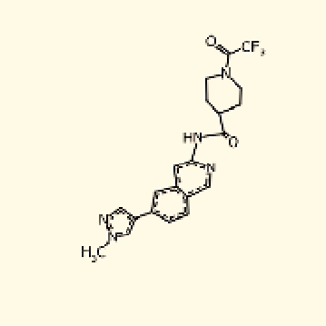 Cn1cc(-c2ccc3cnc(NC(=O)C4CCN(C(=O)C(F)(F)F)CC4)cc3c2)cn1